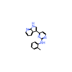 Cc1ccccc1Nc1nccc(-c2c[nH]c3ncccc23)n1